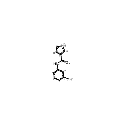 CC(C)c1cccc(NC(=O)c2cc[nH]c2)c1